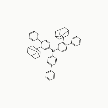 c1ccc(-c2ccc(N(c3ccc(-c4ccccc4)c(C45CC6CC(CC(C6)C4)C5)c3)c3ccc(-c4ccccc4)c(C45CC6CC(CC(C6)C4)C5)c3)cc2)cc1